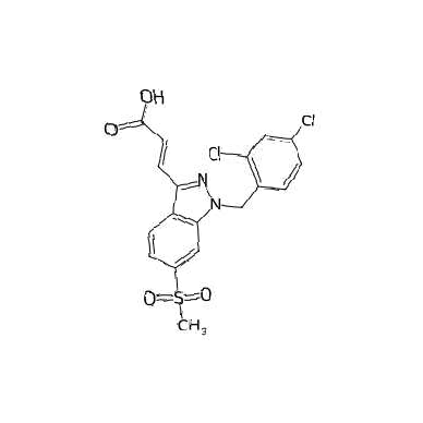 CS(=O)(=O)c1ccc2c(C=CC(=O)O)nn(Cc3ccc(Cl)cc3Cl)c2c1